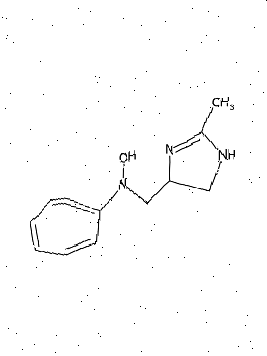 CC1=NC(CN(O)c2ccccc2)CN1